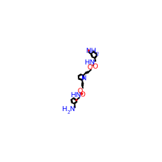 NCc1cccc(CNC(=O)OCC#Cc2cccc(C#CCOC(=O)NCc3cccc(CN)c3)n2)c1